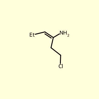 CC/C=C(/N)CCCl